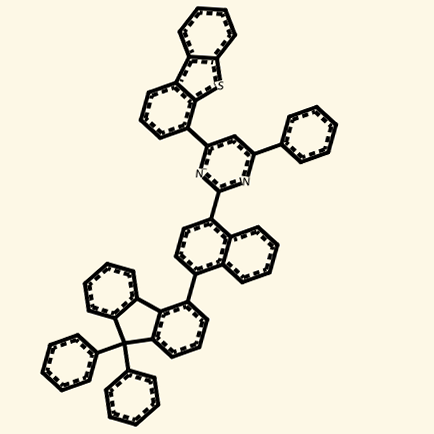 c1ccc(-c2cc(-c3cccc4c3sc3ccccc34)nc(-c3ccc(-c4cccc5c4-c4ccccc4C5(c4ccccc4)c4ccccc4)c4ccccc34)n2)cc1